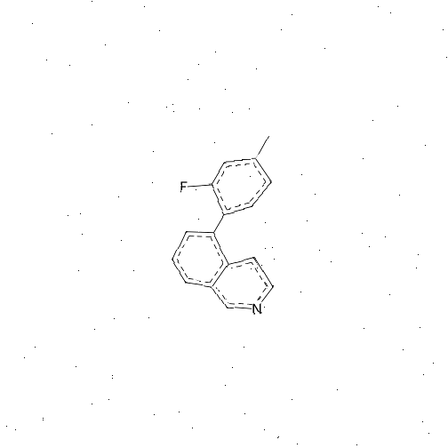 Cc1ccc(-c2cccc3cnccc23)c(F)c1